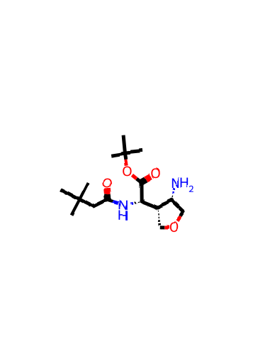 CC(C)(C)CC(=O)N[C@H](C(=O)OC(C)(C)C)[C@H]1COC[C@H]1N